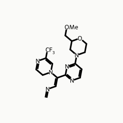 C=N/C=C(/c1nccc(N2CCOC(COC)C2)n1)N1C=C(C(F)(F)F)N=CC1